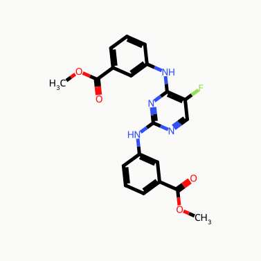 COC(=O)c1cccc(Nc2ncc(F)c(Nc3cccc(C(=O)OC)c3)n2)c1